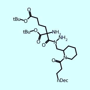 CCCCCCCCCCCCC(=O)N1CCCCC1CN(N)C(=O)C(N)(CCCC(=O)OC(C)(C)C)C(=O)OC(C)(C)C